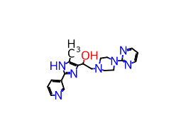 Cc1[nH]c(-c2cccnc2)nc1C(O)CN1CCN(c2ncccn2)CC1